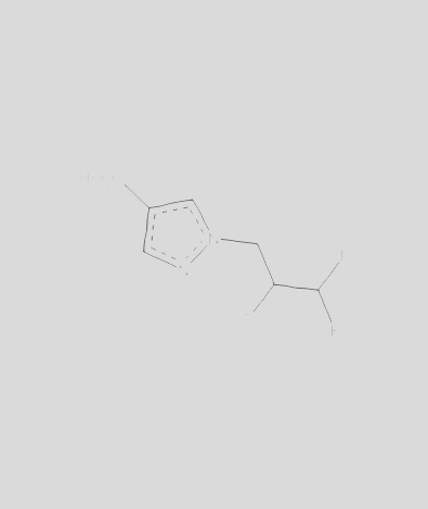 O=C(O)c1cnn(CC(F)C(F)F)c1